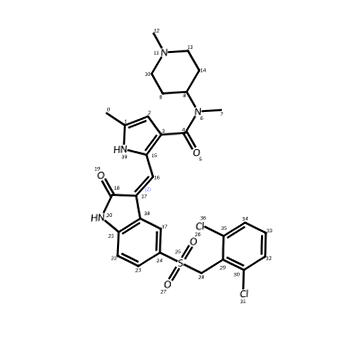 Cc1cc(C(=O)N(C)C2CCN(C)CC2)c(/C=C2\C(=O)Nc3ccc(S(=O)(=O)Cc4c(Cl)cccc4Cl)cc32)[nH]1